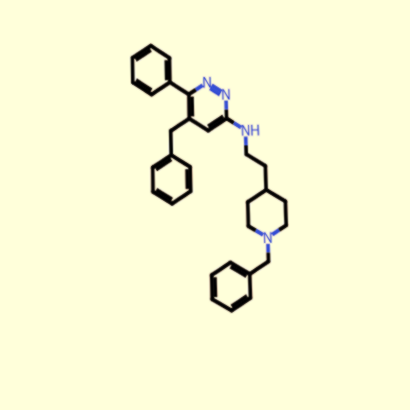 c1ccc(Cc2cc(NCCC3CCN(Cc4ccccc4)CC3)nnc2-c2ccccc2)cc1